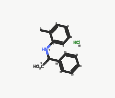 Cc1ccccc1NC(C(=O)O)c1ccccc1.Cl